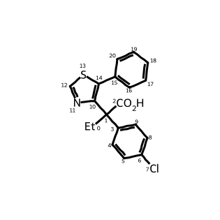 CCC(C(=O)O)(c1ccc(Cl)cc1)c1ncsc1-c1ccccc1